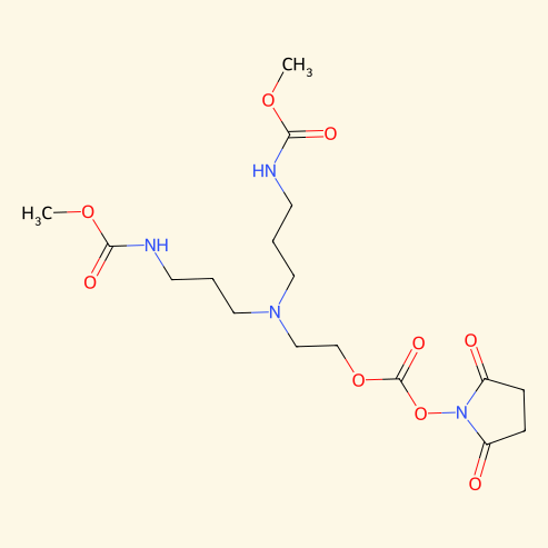 COC(=O)NCCCN(CCCNC(=O)OC)CCOC(=O)ON1C(=O)CCC1=O